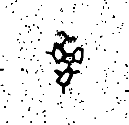 CCCN(CCC)c1nc(C)nc2c1c1c(n2-c2c(C)cc(C)cc2C)CCCC1